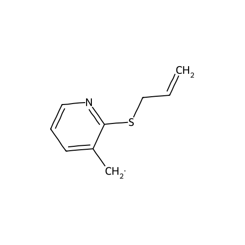 [CH2]c1cccnc1SCC=C